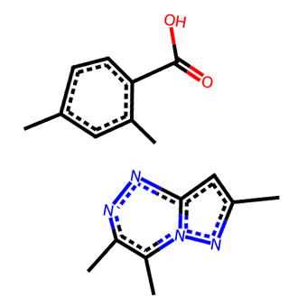 Cc1cc2nnc(C)c(C)n2n1.Cc1ccc(C(=O)O)c(C)c1